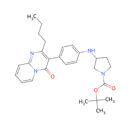 CCCCc1nc2ccccn2c(=O)c1-c1ccc(NC2CCN(C(=O)OC(C)(C)C)C2)cc1